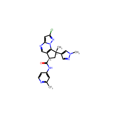 Cn1cc([C@]2(C)C[C@@H](C(=O)Nc3ccnc(C(F)(F)F)c3)c3cnc4cc(Cl)nn4c32)cn1